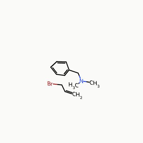 C=CCBr.CN(C)Cc1ccccc1